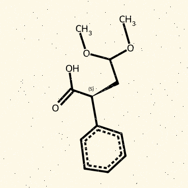 COC(C[C@H](C(=O)O)c1ccccc1)OC